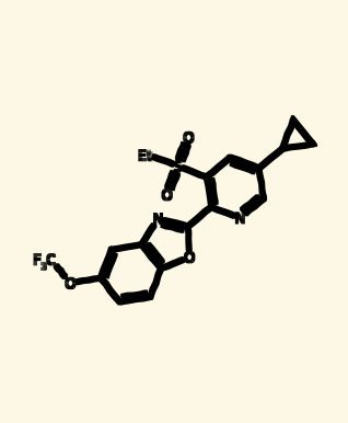 CCS(=O)(=O)c1cc(C2CC2)cnc1-c1nc2cc(OC(F)(F)F)ccc2o1